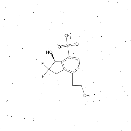 O=S(=O)(c1ccc(CCO)c2c1[C@H](O)C(F)(F)C2)C(F)(F)F